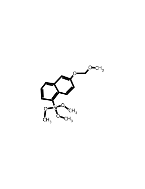 COCOc1ccc2c([Si](OC)(OC)OC)cccc2c1